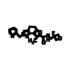 Cc1c(C(=O)NCC2(F)COC2)oc2c1-c1nn(Cc3ccccn3)cc1CC2